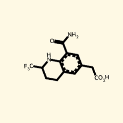 NC(=O)c1cc(CC(=O)O)cc2c1NC(C(F)(F)F)CC2